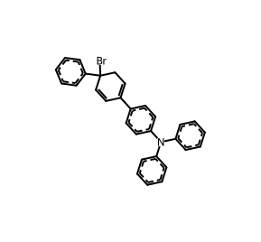 BrC1(c2ccccc2)C=CC(c2ccc(N(c3ccccc3)c3ccccc3)cc2)=CC1